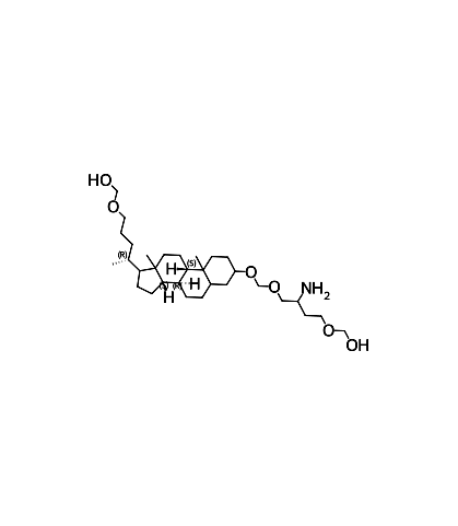 C[C@H](CCCOCO)C1CC[C@H]2[C@@H]3CCC4CC(OCOCC(N)CCOCO)CCC4(C)[C@H]3CCC12C